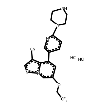 Cl.Cl.N#Cc1cnn2cc(OCC(F)(F)F)cc(-c3ccc(N4CCNCC4)nc3)c12